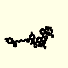 COc1c(C(=O)c2cccc(N)c2N)ccc(C(=O)N(C)c2ccc(C)cc2OCCCCCC(=O)N2CCN(C)CC2)c1N